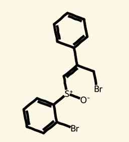 [O-][S+](C=C(CBr)c1ccccc1)c1ccccc1Br